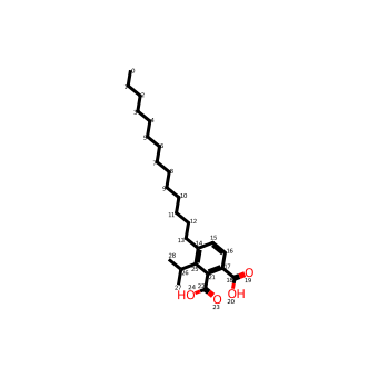 CCCCCCCCCCCCCCc1ccc(C(=O)O)c(C(=O)O)c1C(C)C